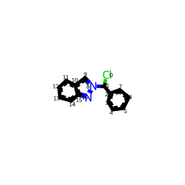 ClC(c1ccccc1)n1cc2ccccc2n1